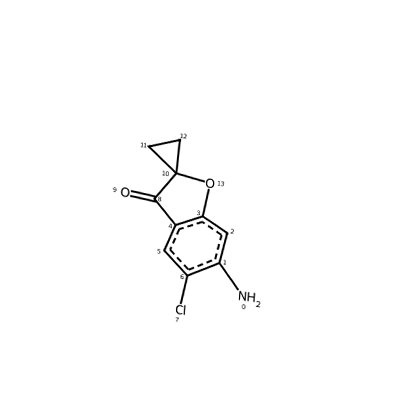 Nc1cc2c(cc1Cl)C(=O)C1(CC1)O2